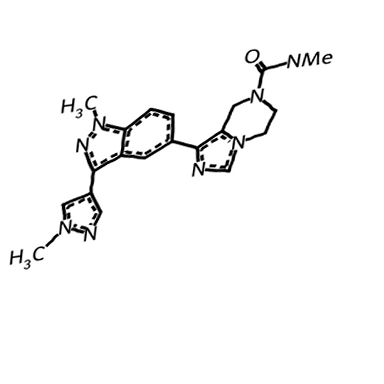 CNC(=O)N1CCn2cnc(-c3ccc4c(c3)c(-c3cnn(C)c3)nn4C)c2C1